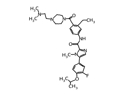 CCc1cc(NC(=O)c2ncc(-c3ccc(OC(C)C)c(F)c3)n2C)ccc1C(=O)N1CCN(CCN(C)C)CC1